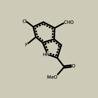 COC(=O)c1cc2c(C=O)cc(Cl)c(F)c2[nH]1